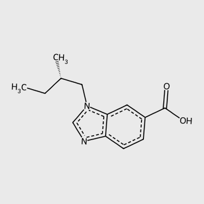 CC[C@H](C)Cn1cnc2ccc(C(=O)O)cc21